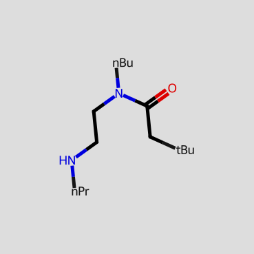 CCCCN(CCNCCC)C(=O)CC(C)(C)C